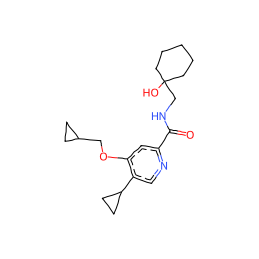 O=C(NCC1(O)CCCCC1)c1cc(OCC2CC2)c(C2CC2)cn1